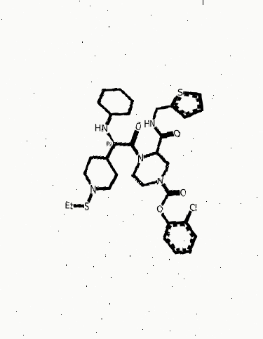 CCSN1CCC([C@@H](NC2CCCCC2)C(=O)N2CCN(C(=O)Oc3ccccc3Cl)CC2C(=O)NCc2cccs2)CC1